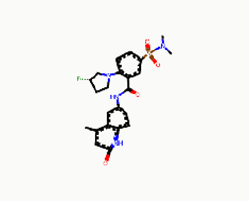 Cc1cc(=O)[nH]c2ccc(NC(=O)c3cc(S(=O)(=O)N(C)C)ccc3N3CC[C@H](F)C3)cc12